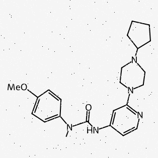 COc1ccc(N(C)C(=O)Nc2ccnc(N3CCN(C4CCCC4)CC3)c2)cc1